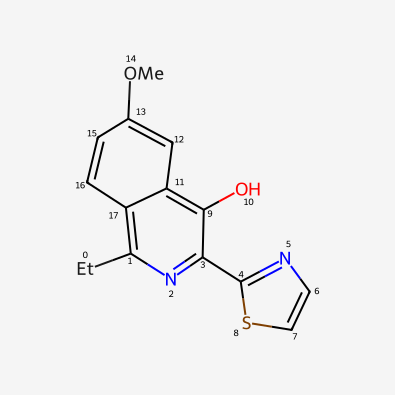 CCc1nc(-c2nccs2)c(O)c2cc(OC)ccc12